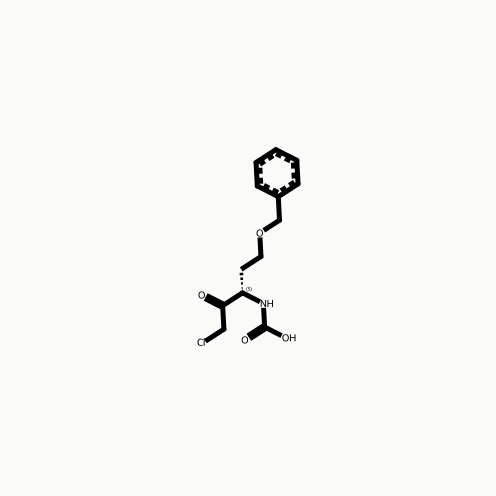 O=C(O)N[C@@H](CCOCc1ccccc1)C(=O)CCl